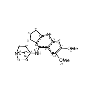 COc1cc2nc3c(c(NC45CCN(CC4)CC5)c2cc1OC)CCC3